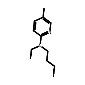 CCN(CCCI)c1ccc(C)cn1